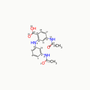 CC(=O)Nc1cccc(Nc2cc(NC(C)=O)ccc2C(=O)O)c1